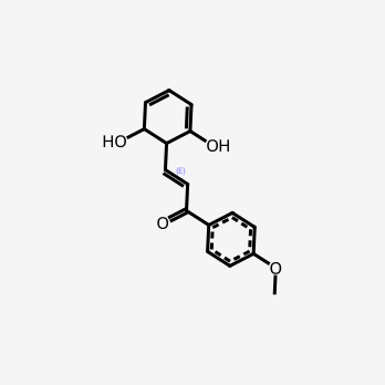 COc1ccc(C(=O)/C=C/C2C(O)=CC=CC2O)cc1